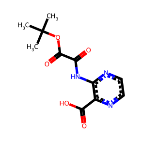 CC(C)(C)OC(=O)C(=O)Nc1nccnc1C(=O)O